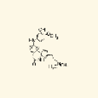 COc1ccc(Nc2ncc3c(n2)-c2ccc(CCCN(C)C)cc2NC(=O)C3)cc1O